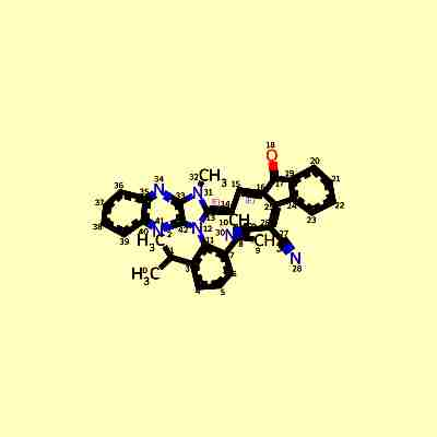 CC(C)c1cccc(C(C)C)c1N1/C(=C/C=C2/C(=O)c3ccccc3C2=C(C#N)C#N)N(C)c2nc3ccccc3nc21